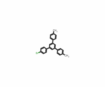 Cc1ccc(-c2cc(-c3ccc(C)cc3)cc(-c3ccc(Br)cc3)c2)cc1